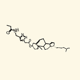 CCC(=O)NCc1cn(CC(=O)OC2CCC3(C)C(=CCC4C3CC[C@@]3(C)C4CC[C@@H]3CCCCC(C)C)C2)nn1